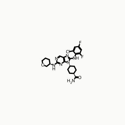 NC(=O)[C@H]1CC[C@H](n2c(Nc3c(F)cc(F)cc3Cl)nc3cnc(N[C@@H]4CCCOC4)nc32)CC1